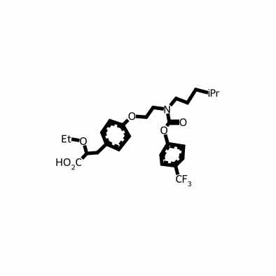 CCOC(Cc1ccc(OCCN(CCCC(C)C)C(=O)Oc2ccc(C(F)(F)F)cc2)cc1)C(=O)O